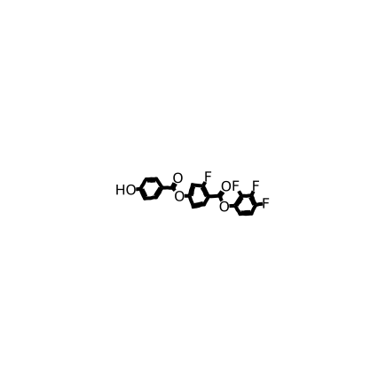 O=C(Oc1ccc(C(=O)Oc2ccc(F)c(F)c2F)c(F)c1)c1ccc(O)cc1